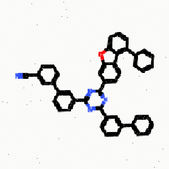 N#Cc1cccc(-c2cccc(-c3nc(-c4cccc(-c5ccccc5)c4)nc(-c4ccc5c(c4)oc4cccc(-c6ccccc6)c45)n3)c2)c1